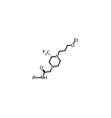 CCOCCCN1CCN(CC(=O)NC(C)C)C[C@@H]1C(F)(F)F